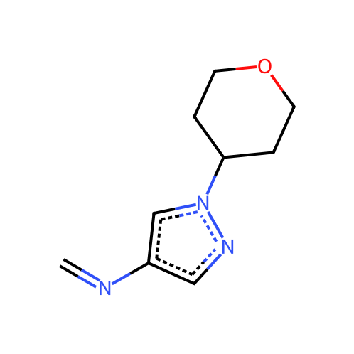 C=Nc1cnn(C2CCOCC2)c1